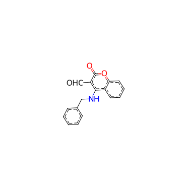 O=Cc1c(NCc2ccccc2)c2ccccc2oc1=O